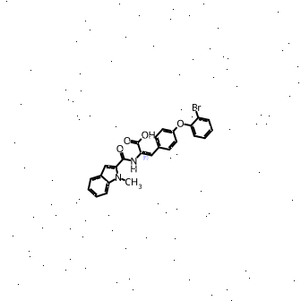 Cn1c(C(=O)N/C(=C/c2ccc(Oc3ccccc3Br)cc2)C(=O)O)cc2ccccc21